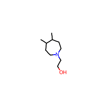 CC1CCN(CCO)CCC1C